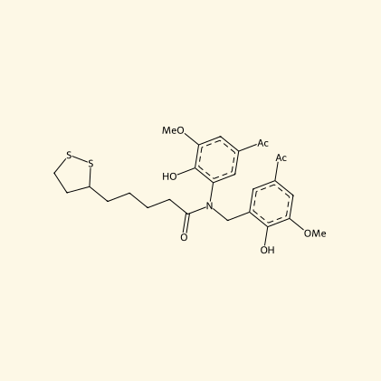 COc1cc(C(C)=O)cc(CN(C(=O)CCCCC2CCSS2)c2cc(C(C)=O)cc(OC)c2O)c1O